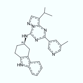 Cc1cncc(-c2nc(N[C@@H]3CCc4[nH]c5ccccc5c4C3)n3ncc(C(C)C)c3n2)c1